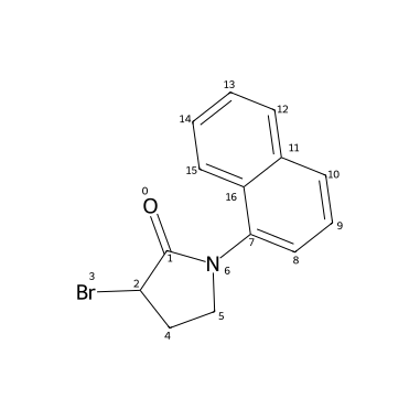 O=C1C(Br)CCN1c1cccc2ccccc12